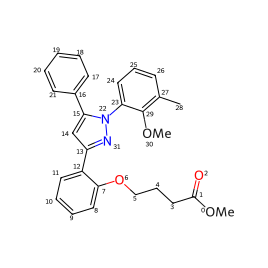 COC(=O)CCCOc1ccccc1-c1cc(-c2ccccc2)n(-c2cccc(C)c2OC)n1